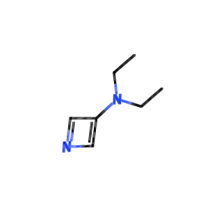 CCN(CC)C1=CN=C1